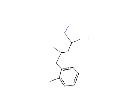 CCC(Cc1ccccc1C(F)(F)F)CC(CN)C(=O)O